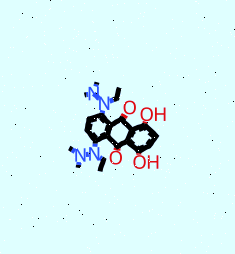 CCN(c1ccc(N(CC)N(C)C)c2c1C(=O)c1c(O)ccc(O)c1C2=O)N(C)C